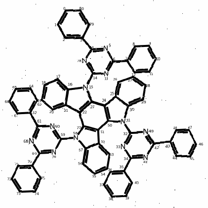 c1ccc(-c2nc(-c3ccccc3)nc(-n3c4ccccc4c4c3c3c5ccccc5n(-c5nc(-c6ccccc6)nc(-c6ccccc6)n5)c3c3c5ccccc5n(-c5nc(-c6ccccc6)nc(-c6ccccc6)n5)c43)n2)cc1